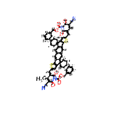 CC1=C(C#N)C(=O)N(C(=O)OCc2ccccc2)C(=O)/C1=C\c1cc2c(s1)C1=CC3C=C4C(=CC3C=C1C21CCCCC1)c1sc(/C=C2/C=C(C#N)C(=O)N(C(=O)OCc3ccccc3)C2=O)cc1C41CCCCC1